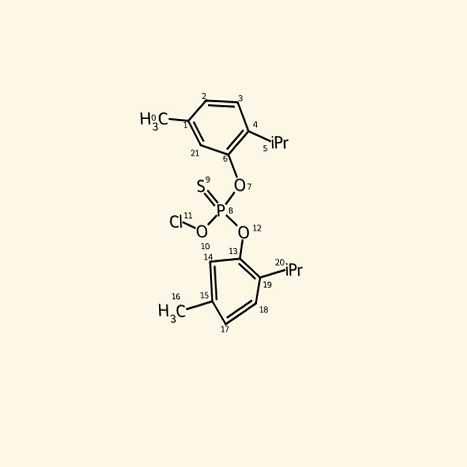 Cc1ccc(C(C)C)c(OP(=S)(OCl)Oc2cc(C)ccc2C(C)C)c1